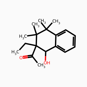 CCC1(C(C)=O)C(O)c2ccccc2C(C)(C)C1(C)C